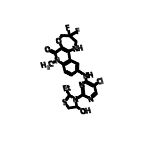 CCC1SCC(O)N1c1ncc(Cl)c(Nc2ccc3c(c2)c2c(c(=O)n3C)OCC(F)(F)CN2)n1